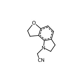 N#CCN1CCc2ccc3c(c21)CCO3